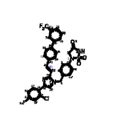 O=C1CN(c2ccc(Cn3cc(-c4ccc(F)cc4Cl)nc3/C=C/c3ccc(-c4cccc(C(F)(F)F)c4)cc3)cc2)S(=O)(=O)N1